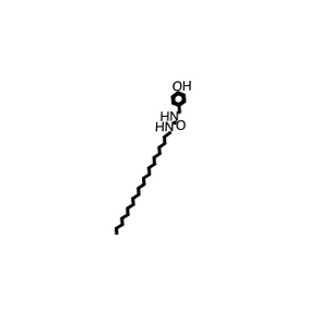 CCCCCCCCCCCCCCCCCCCCCNC(=O)NCc1ccc(O)cc1